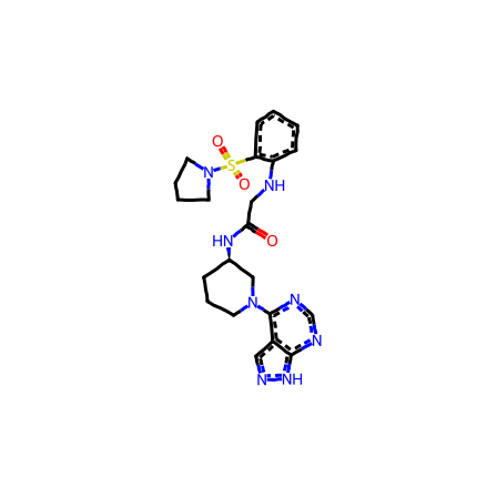 O=C(CNc1ccccc1S(=O)(=O)N1CCCC1)N[C@@H]1CCCN(c2ncnc3[nH]ncc23)C1